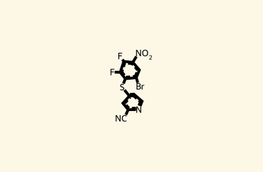 N#Cc1cc(Sc2c(Br)cc([N+](=O)[O-])c(F)c2F)ccn1